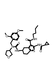 CCCCNC(=O)c1c(NC(=O)C2CC2)sc2c1CC(NC(=S)N(Cc1ccc(OC)cc1OC)C1CCOC1)CC2